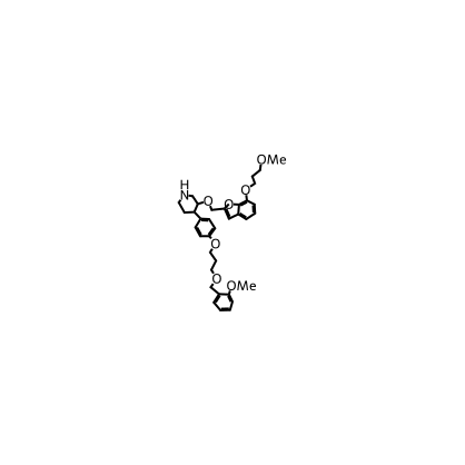 COCCCOc1cccc2cc(COC3CNCCC3c3ccc(OCCCOCc4ccccc4OC)cc3)oc12